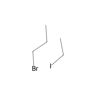 CCCBr.CCI